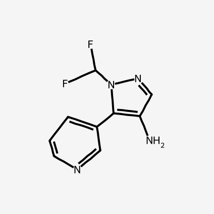 Nc1cnn(C(F)F)c1-c1cccnc1